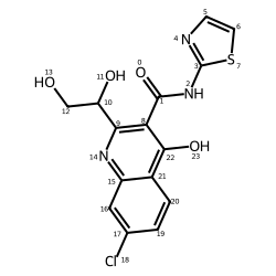 O=C(Nc1nccs1)c1c(C(O)CO)nc2cc(Cl)ccc2c1O